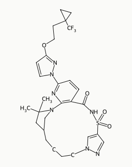 CC1(C)CC2CCCCn3cc(cn3)S(=O)(=O)NC(=O)c3ccc(-n4ccc(OCCC5(C(F)(F)F)CC5)n4)nc3N1C2